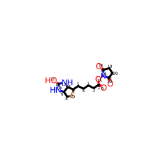 O=C(CCCCC1SCC2NC(O)NC21)ON1C(=O)CCC1=O